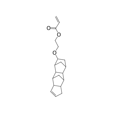 C=CC(=O)OCCOC1CC2CC1C1C3CC(C4CC=CC43)C21